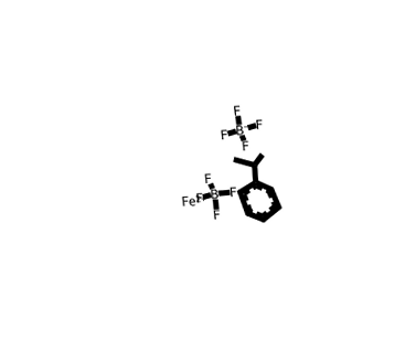 CC(C)c1ccccc1.F[B-](F)(F)F.F[B-](F)(F)F.[Fe+2]